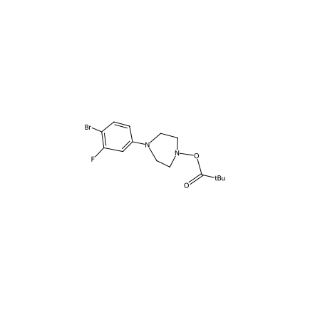 CC(C)(C)C(=O)ON1CCN(c2ccc(Br)c(F)c2)CC1